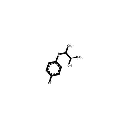 CC(Sc1ccc(O)cc1)[C@@H](C)O